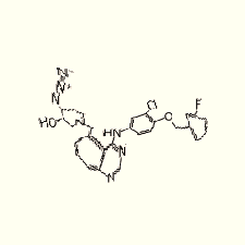 [N-]=[N+]=N[C@@H]1CCN(Cc2cccc3ncnc(Nc4ccc(OCc5cccc(F)c5)c(Cl)c4)c23)C[C@H]1O